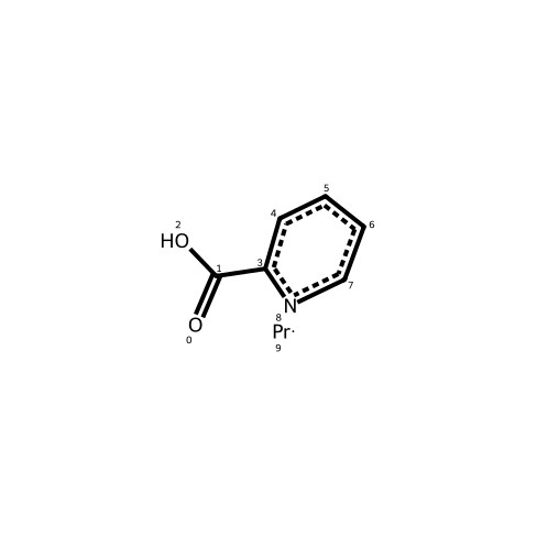 O=C(O)c1ccccn1.[Pr]